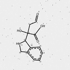 O=CCC(O)(C(=O)O)C1NCc2ccccc21